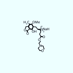 COc1c(C)c2c(c(O)c1C/C=C(\C)CCC(=O)OCCN1CCOCC1)C(=O)OC2.[NaH]